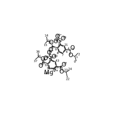 CC(C)OC(=O)c1ccc(C(=O)OC(C)C)c(S(=O)(=O)[O-])c1.CC(C)OC(=O)c1ccc(C(=O)OC(C)C)c(S(=O)(=O)[O-])c1.[Mg+2]